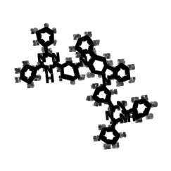 C1=CC(C2=NC(c3ccccc3)=NC(c3ccccc3)N2)CC(n2c3c(c4ccccc42)=CC2c4ccccc4N(c4cccc(C5=NC(c6ccccc6)NC(c6ccccc6)=N5)c4)C2C=3)=C1